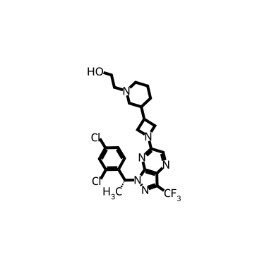 C[C@H](c1ccc(Cl)cc1Cl)n1nc(C(F)(F)F)c2ncc(N3CC(C4CCCN(CCO)C4)C3)nc21